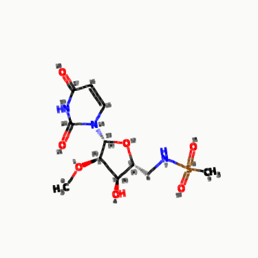 CO[C@@H]1[C@H](O)[C@@H](CNS(C)(=O)=O)O[C@H]1n1ccc(=O)[nH]c1=O